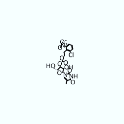 Cc1cn([C@@H]2O[C@H](CO)C(OC(=O)OCCc3c(Cl)cccc3[N+](=O)[O-])C2O)c(=O)[nH]c1=O